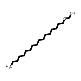 CCCCCCCCCCCCCCCCCOCO